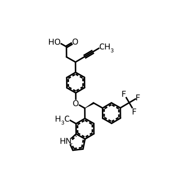 CC#CC(CC(=O)O)c1ccc(O[C@@H](Cc2cccc(C(F)(F)F)c2)c2ccc3cc[nH]c3c2C)cc1